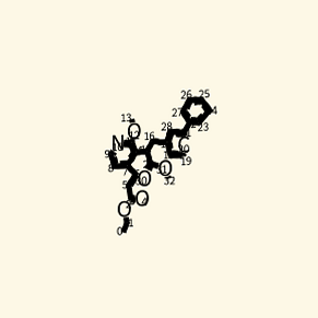 CCOC(=O)/C=C/c1ccnc(OC)c1C(Cc1cccc(-c2ccccc2)c1)C(=O)OC